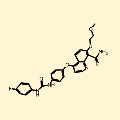 COCCOc1ccc2c(Oc3ccc(NC(=O)Nc4ccc(F)cc4)cc3)ccnc2c1C(N)=O